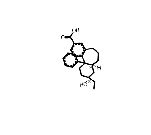 CC[C@@]1(O)CCC2(c3ccccc3)c3ccc(C(=O)O)cc3CCC[C@H]2C1